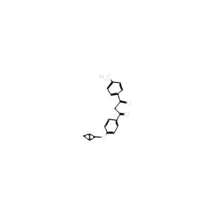 Cc1ccc(C(=O)CC(=O)c2ccc(OC3C4CC43)cc2)cc1